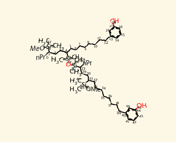 CCCC(CCC(CCCCCCCCc1cccc(O)c1)[Si](C)(C)O[Si](C)(C)C(CCC)CCC(CCCCCCCCc1cccc(O)c1)[Si](C)(C)OC)[Si](C)(C)OC